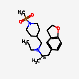 CCN(CC1CCN(S(C)(=O)=O)CC1)[C@@H](C)Cc1ccc2c(c1)CCO2